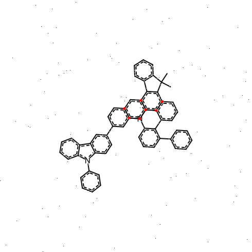 CC1(C)c2ccccc2-c2cc(N(c3cccc(-c4ccc5c(c4)c4ccccc4n5-c4ccccc4)c3)c3cccc(-c4ccccc4)c3-c3ccccc3-c3ccccc3)ccc21